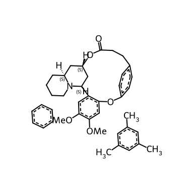 COc1cc2c(cc1OC)[C@@H]1C[C@H](C[C@@H]3CCCCN31)OC(=O)CCc1ccc(cc1)O2.Cc1cc(C)cc(C)c1.c1ccccc1